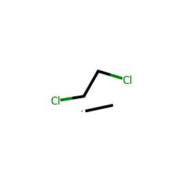 ClCCCl.[CH2]C